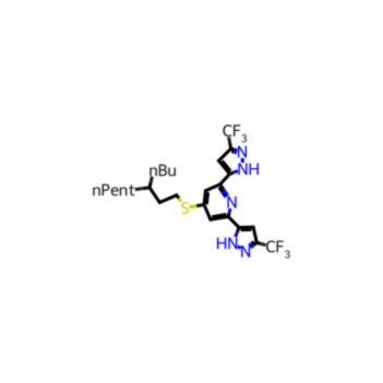 CCCCCC(CCCC)CCSc1cc(-c2cc(C(F)(F)F)n[nH]2)nc(-c2cc(C(F)(F)F)n[nH]2)c1